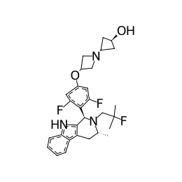 C[C@@H]1Cc2c([nH]c3ccccc23)[C@@H](c2c(F)cc(OC3CN([C@H]4C[C@H](O)C4)C3)cc2F)N1CC(C)(C)F